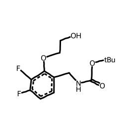 CC(C)(C)OC(=O)NCc1ccc(F)c(F)c1OCCO